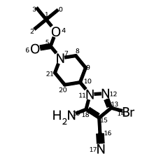 CC(C)(C)OC(=O)N1CCC(n2nc(Br)c(C#N)c2N)CC1